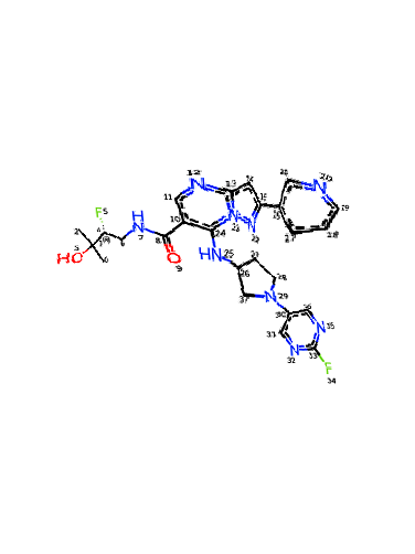 CC(C)(O)[C@H](F)CNC(=O)c1cnc2cc(-c3cccnc3)nn2c1NC1CCN(c2cnc(F)nc2)C1